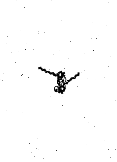 CCCCCCCC=C[C@H]1CCC(C)(C)[C@H](OC)[C@H]1COC[C@@H]1[C@@H](OC)C(C)(C)CC[C@@H]1C=CCCCCCCC